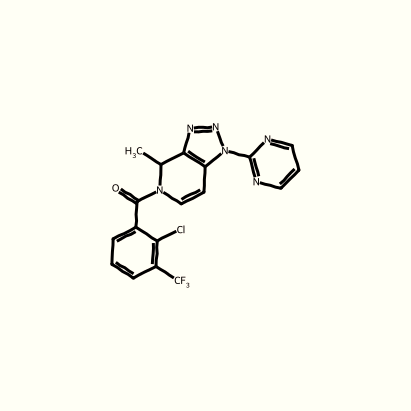 CC1c2nnn(-c3ncccn3)c2C=CN1C(=O)c1cccc(C(F)(F)F)c1Cl